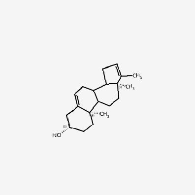 CC1=CCC2C3CC=C4C[C@@H](O)CC[C@]4(C)C3CC[C@]12C